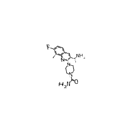 Cc1c(F)ccc2cc(C(C)N)c(N3CCN(C(N)=O)CC3)nc12